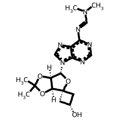 CN(C)/C=N/c1ncnc2c1ncn2[C@@H]1O[C@]2(C[C@@H](O)C2)[C@H]2OC(C)(C)O[C@@H]12